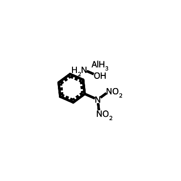 NO.O=[N+]([O-])N(c1ccccc1)[N+](=O)[O-].[AlH3]